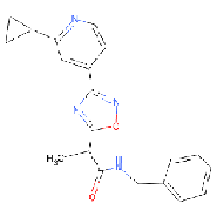 CC(C(=O)NCc1ccccc1)c1nc(-c2ccnc(C3CC3)c2)no1